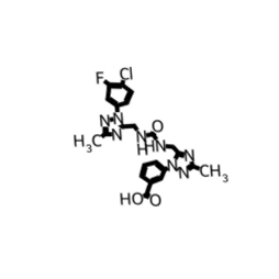 Cc1nc(CNC(=O)NCc2nc(C)nn2-c2ccc(Cl)c(F)c2)n(-c2cccc(C(=O)O)c2)n1